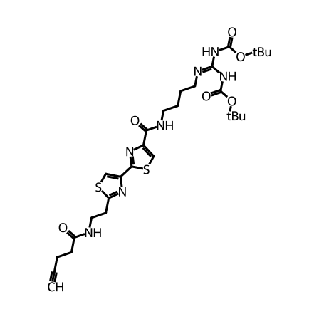 C#CCCC(=O)NCCc1nc(-c2nc(C(=O)NCCCCN=C(NC(=O)OC(C)(C)C)NC(=O)OC(C)(C)C)cs2)cs1